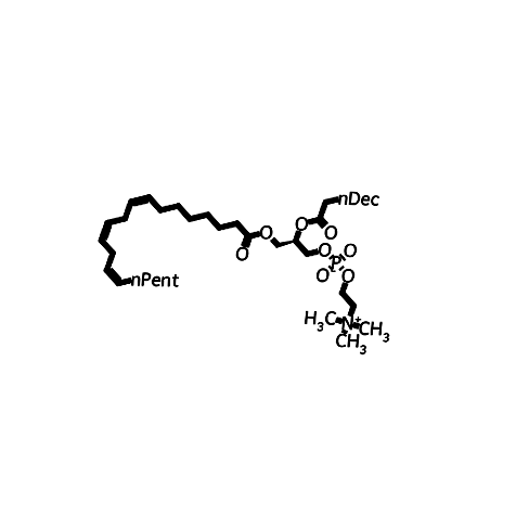 CCCCC/C=C\C/C=C\C/C=C\CCCCCCC(=O)OC[C@H](COP(=O)([O-])OCC[N+](C)(C)C)OC(=O)CCCCCCCCCCC